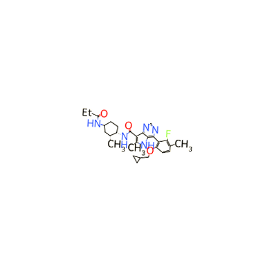 CCC(=O)N[C@H]1CC[C@H](NC(=O)c2c(C)[nH]c3c(-c4c(OCC5CC5)ccc(C)c4F)ncnc23)[C@H](C)C1